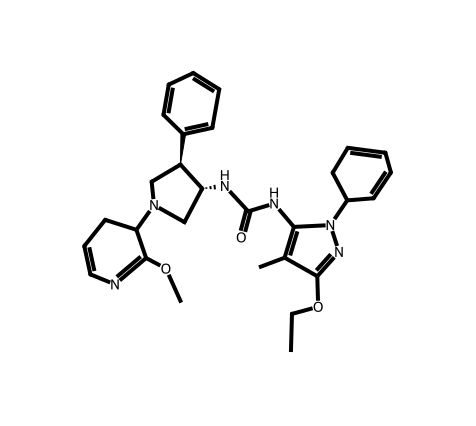 CCOc1nn(C2C=CC=CC2)c(NC(=O)N[C@@H]2CN(C3CC=CN=C3OC)C[C@H]2c2ccccc2)c1C